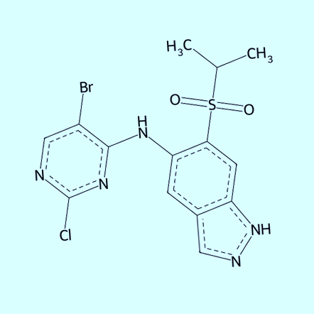 CC(C)S(=O)(=O)c1cc2[nH]ncc2cc1Nc1nc(Cl)ncc1Br